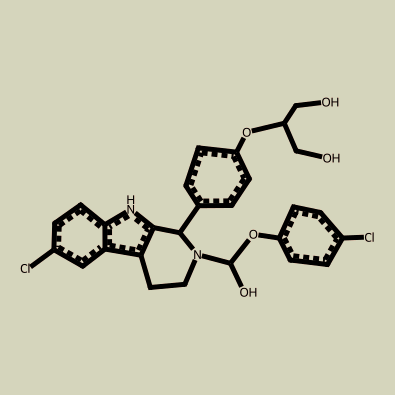 OCC(CO)Oc1ccc(C2c3[nH]c4ccc(Cl)cc4c3CCN2C(O)Oc2ccc(Cl)cc2)cc1